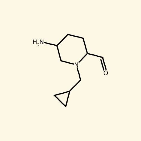 NC1CCC(C=O)N(CC2CC2)C1